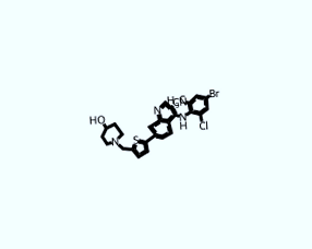 Cc1cc(Br)cc(Cl)c1Nc1c(C#N)cnc2cc(-c3ccc(CN4CCC(O)CC4)s3)ccc12